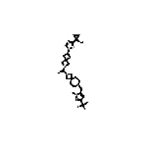 Cn1nc(C(F)(F)F)cc1CN1CCC2(CC1)CN(C(=O)N1CC3(CC(n4cnc(C5(O)CC5)n4)C3)C1)C2